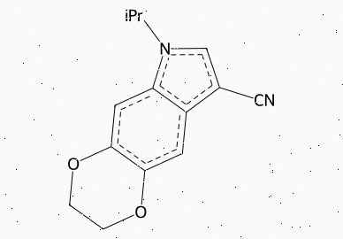 CC(C)n1cc(C#N)c2cc3c(cc21)OCCO3